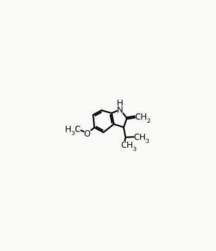 C=C1Nc2ccc(OC)cc2C1C(C)C